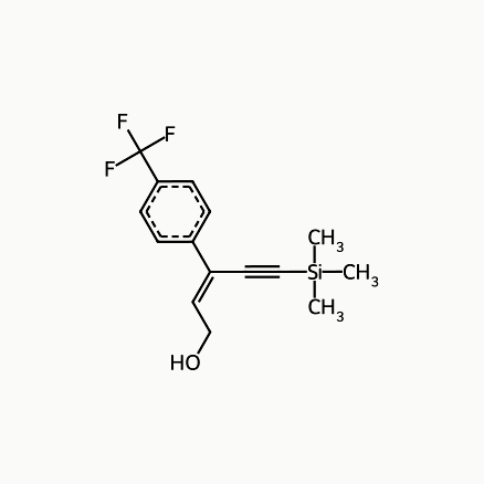 C[Si](C)(C)C#CC(=CCO)c1ccc(C(F)(F)F)cc1